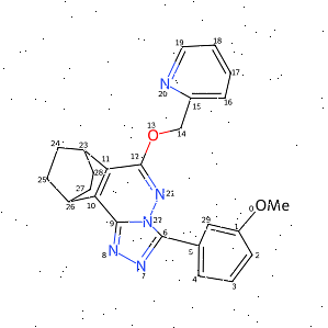 COc1cccc(-c2nnc3c4c(c(OCc5ccccn5)nn23)C2CCC4CC2)c1